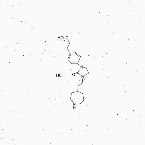 Cl.O=C(O)CCc1ccc(N2CCN(CCC3CCCNCC3)C2=O)cc1